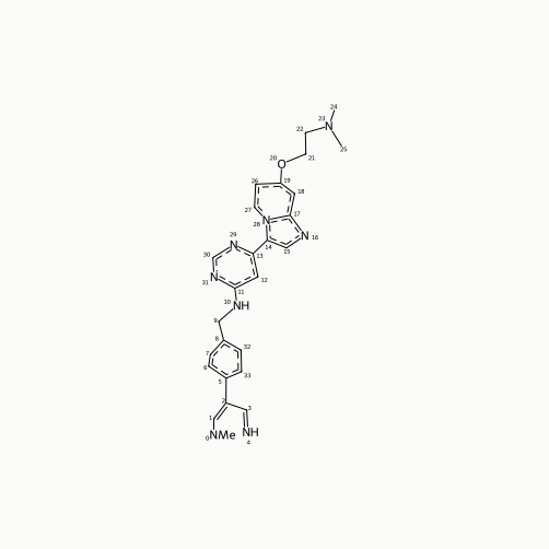 CN/C=C(\C=N)c1ccc(CNc2cc(-c3cnc4cc(OCCN(C)C)ccn34)ncn2)cc1